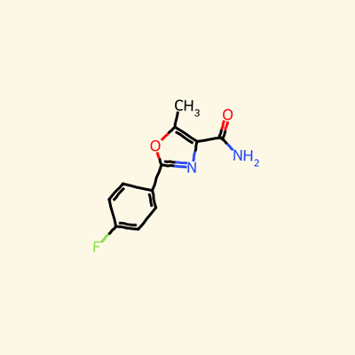 Cc1oc(-c2ccc(F)cc2)nc1C(N)=O